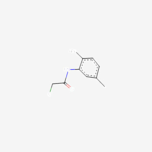 CCCc1ccc(C)cc1NC(=O)CCl